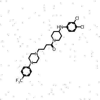 O=C(CCCN1CCN(c2ccc(C(F)(F)F)cc2)CC1)N1CCC(Nc2ccc(Cl)c(Cl)c2)CC1